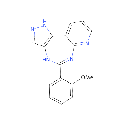 COc1ccccc1C1=Nc2ncccc2-c2[nH]ncc2N1